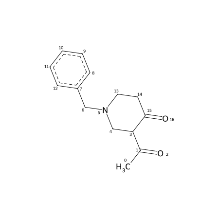 CC(=O)C1CN(Cc2ccccc2)CCC1=O